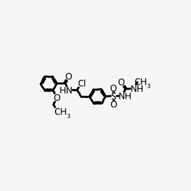 CCOc1ccccc1C(=O)NC(Cl)Cc1ccc(S(=O)(=O)NC(=O)NC)cc1